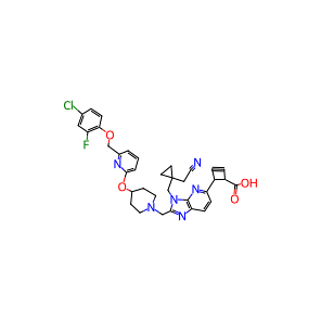 N#CCC1(Cn2c(CN3CCC(Oc4cccc(COc5ccc(Cl)cc5F)n4)CC3)nc3ccc(C4C#CC4C(=O)O)nc32)CC1